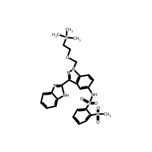 C[Si](C)(C)CCOCn1nc(-c2nc3ccccc3[nH]2)c2cc(NS(=O)(=O)c3ccccc3S(C)(=O)=O)ccc21